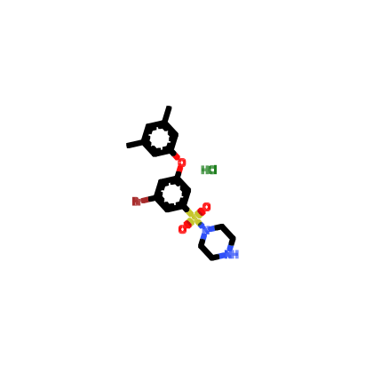 Cc1cc(C)cc(Oc2cc(Br)cc(S(=O)(=O)N3CCNCC3)c2)c1.Cl